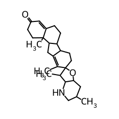 CC1=C2CC3C(CCC4=CC(=O)CCC43C)C2CCC12OC1CC(C)CNC1C2C